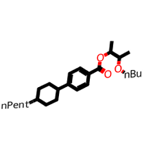 CCCCCC1CCC(c2ccc(C(=O)OC(C)C(C)OCCCC)cc2)CC1